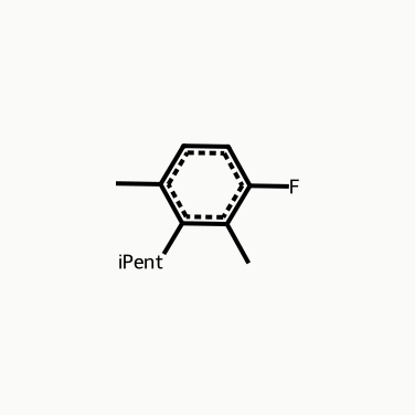 CCCC(C)c1c(C)ccc(F)c1C